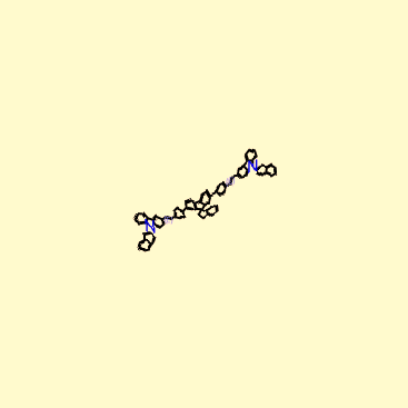 C(=C\c1ccc2c(c1)c1ccccc1n2-c1ccc2ccccc2c1)/c1ccc(-c2ccc3c(c2)C2(CCc4ccccc42)c2cc(-c4ccc(/C=C/c5ccc6c(c5)c5ccccc5n6-c5ccc6ccccc6c5)cc4)ccc2-3)cc1